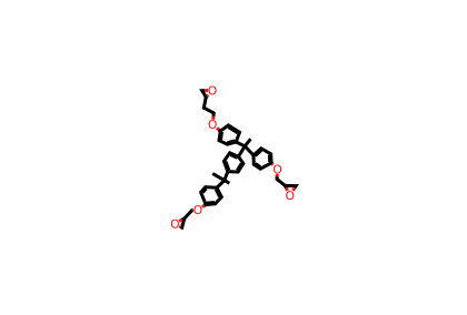 CC(C)(c1ccc(OCC2CO2)cc1)c1ccc(C(C)(c2ccc(OCCC3CO3)cc2)c2ccc(OCC3CO3)cc2)cc1